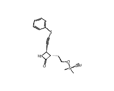 CC(C)(C)[Si](C)(C)OCC[C@@H]1C(=O)N[C@H]1C#CSc1ccccc1